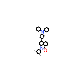 Cc1cc(C)cc(N2C(=O)c3cccc4c(-c5ccc(N(c6ccccc6)c6ccccc6)cc5)ccc2c34)c1